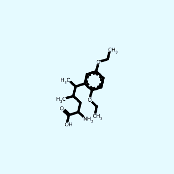 CCOc1ccc(OCC)c(C(C)C(C)CC(N)C(=O)O)c1